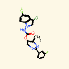 Cc1nc(-c2cccc(F)c2)ncc1OC(=O)Nn1cc(Cl)c2cc(F)ccc21